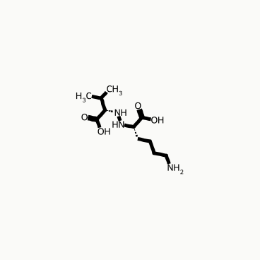 CC(C)[C@H](NN[C@@H](CCCCN)C(=O)O)C(=O)O